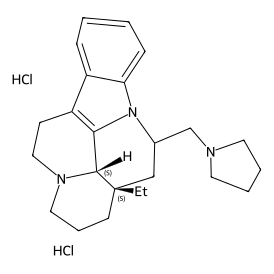 CC[C@]12CCCN3CCc4c(n(c5ccccc45)C(CN4CCCC4)C1)[C@@H]32.Cl.Cl